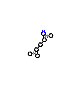 c1ccc(-n2c3ccccc3c3cc(-c4ccc(-c5ccc6c(c5)c5ccncc5n6-c5ccccc5)cc4)ccc32)cc1